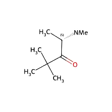 CN[C@@H](C)C(=O)C(C)(C)C